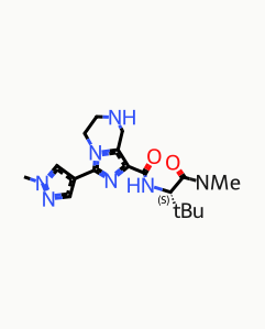 CNC(=O)[C@@H](NC(=O)c1nc(-c2cnn(C)c2)n2c1CNCC2)C(C)(C)C